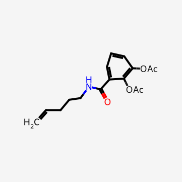 C=CCCCNC(=O)c1cccc(OC(C)=O)c1OC(C)=O